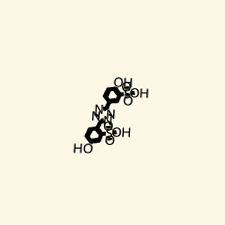 O=S(=O)(O)c1cc(-c2nnc(-c3ccc(O)cc3S(=O)(=O)O)nn2)ccc1O